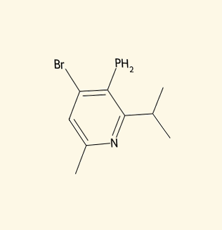 Cc1cc(Br)c(P)c(C(C)C)n1